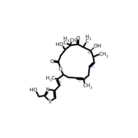 C/C1=C/CC(/C(C)=C/c2csc(CO)n2)OC(=O)CC(O)C(C)(C)C(=O)C(C)[C@@H](O)C(C)/C=C/C1